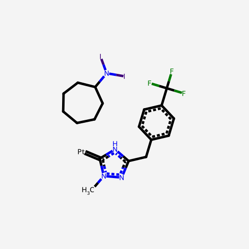 Cn1nc(Cc2ccc(C(F)(F)F)cc2)[nH][c]1=[Pt].IN(I)C1CCCCCC1